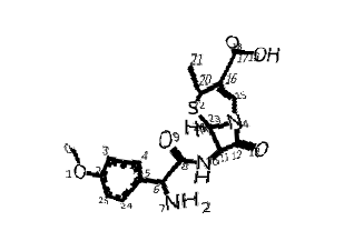 COc1ccc(C(N)C(=O)NC2C(=O)N3C=C(C(=O)O)C(C)S[C@H]23)cc1